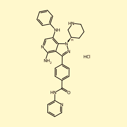 Cl.Nc1ncc(Nc2ccccc2)c2c1c(-c1ccc(C(=O)Nc3ccccn3)cc1)nn2[C@@H]1CCCNC1